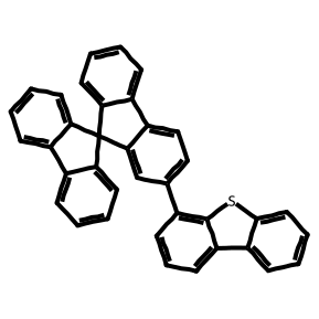 c1ccc2c(c1)-c1ccccc1C21c2ccccc2-c2ccc(-c3cccc4c3sc3ccccc34)cc21